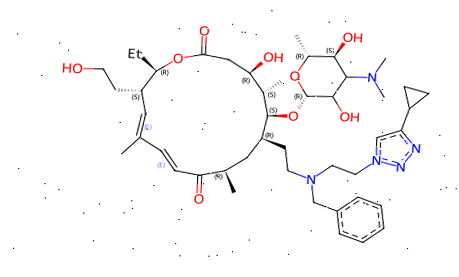 CC[C@H]1OC(=O)C[C@@H](O)[C@H](C)[C@@H](O[C@@H]2O[C@H](C)[C@@H](O)C(N(C)C)C2O)[C@@H](CCN(CCn2cc(C3CC3)nn2)Cc2ccccc2)C[C@@H](C)C(=O)/C=C/C(C)=C/[C@@H]1CCO